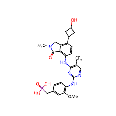 COc1cc(CP(=O)(O)O)ccc1Nc1ncc(C(F)(F)F)c(Nc2ccc(C3CC(O)C3)c3c2C(=O)N(C)C3)n1